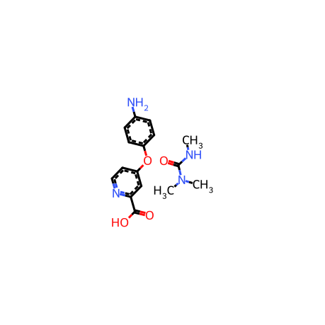 CNC(=O)N(C)C.Nc1ccc(Oc2ccnc(C(=O)O)c2)cc1